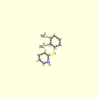 N#Cc1cccc(Sc2ccccn2)c1C#N